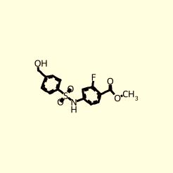 COC(=O)c1ccc(NS(=O)(=O)c2ccc(CO)cc2)cc1F